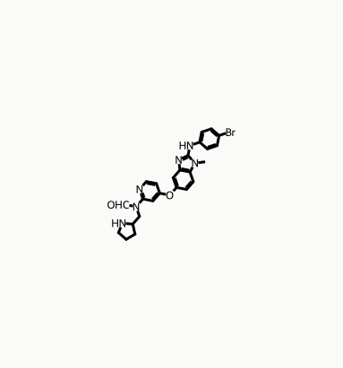 Cn1c(Nc2ccc(Br)cc2)nc2cc(Oc3ccnc(N(C=O)CC4CCCN4)c3)ccc21